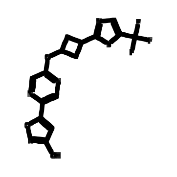 Oc1cc(-c2cnc(OC3CC(c4ncc(C(F)(F)F)s4)C3)cn2)on1